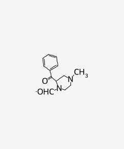 CN1CCN([C]=O)C(C(=O)c2ccccc2)C1